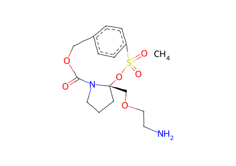 C.NCCOC[C@@]12CCCN1C(=O)OCc1ccc(cc1)S(=O)(=O)O2